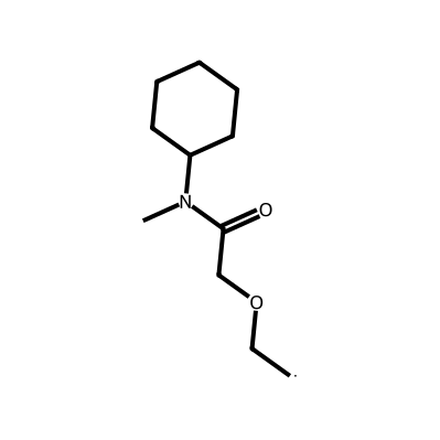 [CH2]COCC(=O)N(C)C1CCCCC1